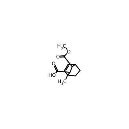 COC(=O)C1C2C=CC(C)(CC2)C1C(=O)O